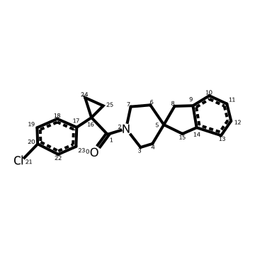 O=C(N1CCC2(CC1)Cc1ccccc1C2)C1(c2ccc(Cl)cc2)CC1